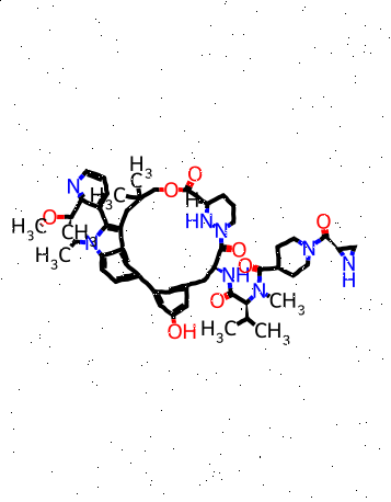 CCn1c(-c2cccnc2[C@H](C)OC)c2c3cc(ccc31)-c1cc(O)cc(c1)C[C@H](NC(=O)[C@H](C(C)C)N(C)C(=O)C1CCN(C(=O)[C@H]3CN3)CC1)C(=O)N1CCC[C@H](N1)C(=O)OCC(C)(C)C2